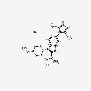 CO[C@H]1CC[C@H](n2c(C(N)CO)nc3cc(-c4c(C)noc4C)ccc32)CC1.Cl